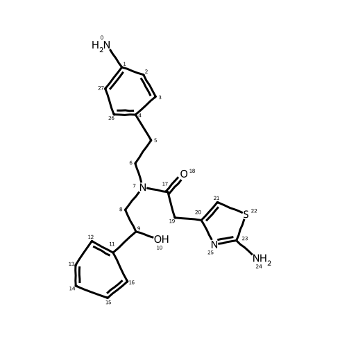 Nc1ccc(CCN(CC(O)c2ccccc2)C(=O)Cc2csc(N)n2)cc1